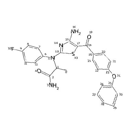 CC(C(N)=O)N(c1ccc(F)cc1)c1nc(N)c(C(=O)c2ccc(Oc3ccccc3)cc2)s1